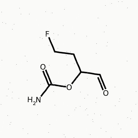 NC(=O)OC(C=O)CCF